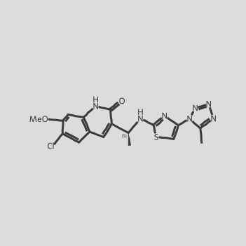 COc1cc2[nH]c(=O)c([C@H](C)Nc3nc(-n4nnnc4C)cs3)cc2cc1Cl